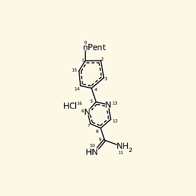 CCCCCc1ccc(-c2ncc(C(=N)N)cn2)cc1.Cl